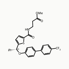 COC(=O)CCNC(=O)c1ccc([C@H](Oc2ccc(-c3ccc(C(F)(F)F)cc3)cc2)C(C)C)s1